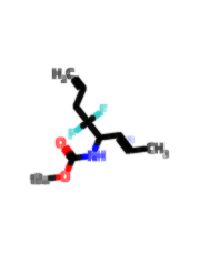 C=CCC(F)(F)C(/C=C/C)NC(=O)OC(C)(C)C